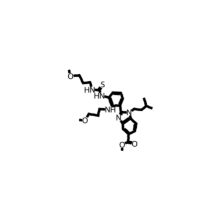 COCCCNC(=S)Nc1cccc(-c2nc3cc(C(=O)OC)ccc3n2CCC(C)C)c1NCCCOC